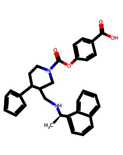 C[C@@H](NCC1CN(C(=O)Oc2ccc(C(=O)O)cc2)CCC1c1ccccc1)c1cccc2ccccc12